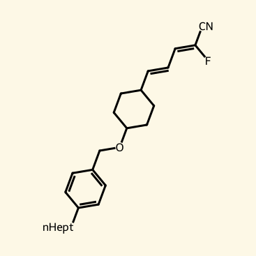 CCCCCCCc1ccc(COC2CCC(C=CC=C(F)C#N)CC2)cc1